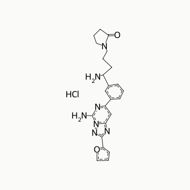 Cl.Nc1nc(-c2cccc(C(N)CCCN3CCCC3=O)c2)cc2nc(-c3ccco3)nn12